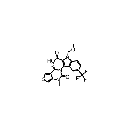 COCn1c(C(=O)O)c(-n2c(=O)[nH]c3cscc3c2=O)c2cc(C(F)(F)F)ccc21